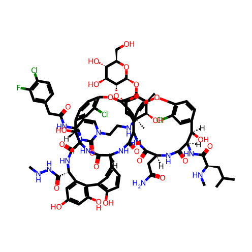 CNNC(=O)[C@@H]1NC(=O)[C@H]2NC(=O)[C@H](NC(=O)[C@@H]3NC(=O)[C@H](CC(N)=O)NC(=O)[C@H](NC(=O)[C@@H](CC(C)C)NC)[C@H](O)c4ccc(c(Cl)c4)Oc4cc3cc(c4O[C@@H]3O[C@H](CO)[C@@H](O)[C@H](O)[C@H]3O[C@H]3C[C@](C)(NCCn4ccc(NC(=O)Cc5ccc(Cl)c(F)c5)nc4=O)[C@H](O)[C@H](C)O3)Oc3ccc(cc3Cl)[C@H]2O)c2ccc(O)c(c2)-c2c(O)cc(O)cc21